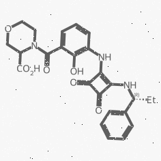 CC[C@@H](Nc1c(Nc2cccc(C(=O)N3CCOCC3C(=O)O)c2O)c(=O)c1=O)c1ccccc1